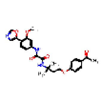 COc1cc(NC(=O)C(=O)NC(C)(C)CCOc2ccc(C(C)=O)cc2)ccc1-c1cnco1